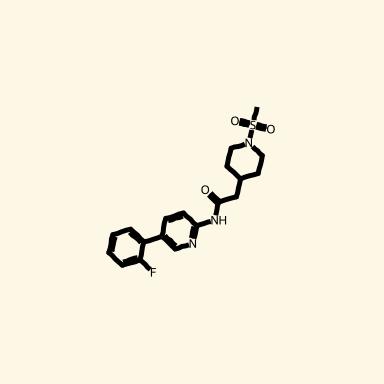 CS(=O)(=O)N1CCC(CC(=O)Nc2ccc(-c3ccccc3F)cn2)CC1